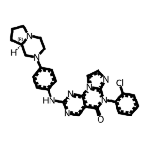 O=c1c2cnc(Nc3ccc(N4CCN5CCC[C@@H]5C4)cc3)nc2n2ccnc2n1-c1ccccc1Cl